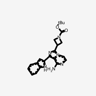 CC(C)(C)OC(=O)N1CC(c2nc(-c3cc4ccccc4[nH]3)c3c(N)nccn23)C1